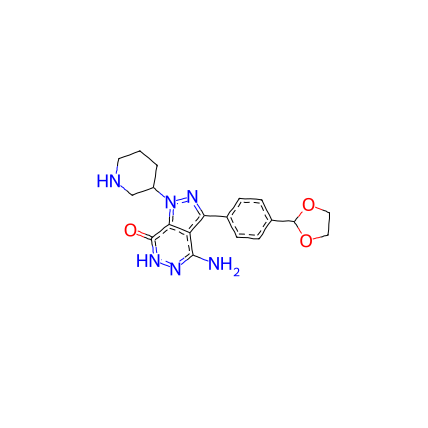 Nc1n[nH]c(=O)c2c1c(-c1ccc(C3OCCO3)cc1)nn2C1CCCNC1